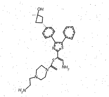 C=C(S/C(=C\N)c1nc(-c2ccc([C@H]3C[C@](C)(O)C3)cc2)c(-c2ccccc2)s1)N1CCN(CCN)CC1